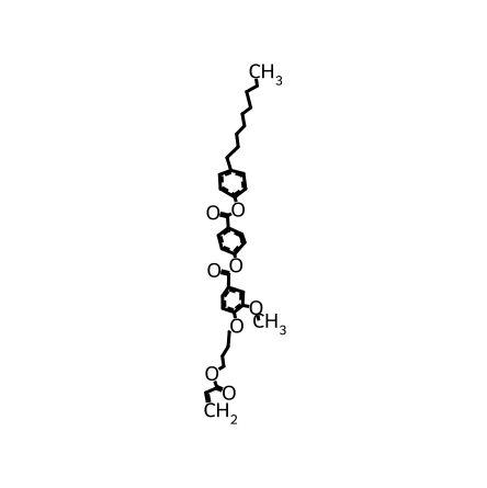 C=CC(=O)OCCCCOc1ccc(C(=O)Oc2ccc(C(=O)Oc3ccc(CCCCCCCCC)cc3)cc2)cc1OC